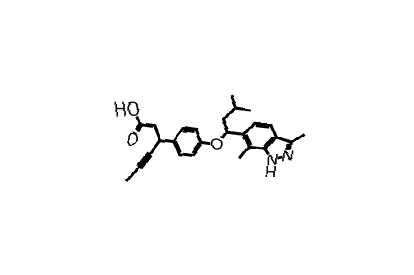 CC#CC(CC(=O)O)c1ccc(OC(CC(C)C)c2ccc3c(C)n[nH]c3c2C)cc1